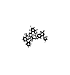 Cc1cc(-n2cc(F)cn2)c2cccc(OCc3c(Cl)cc(F)cc3C(COC(=O)c3ccccc3)NC(=O)C(OC(=O)c3ccccc3)C(C)C)c2n1